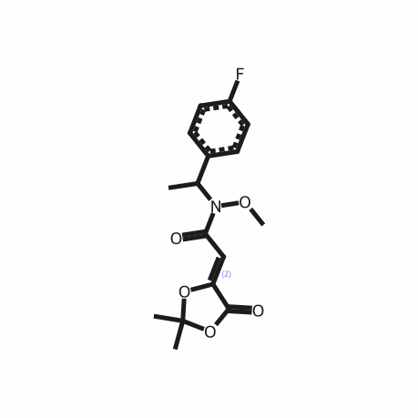 CON(C(=O)/C=C1\OC(C)(C)OC1=O)C(C)c1ccc(F)cc1